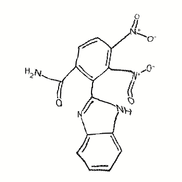 NC(=O)c1ccc([N+](=O)[O-])c([N+](=O)[O-])c1-c1nc2ccccc2[nH]1